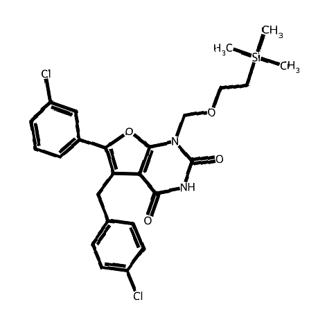 C[Si](C)(C)CCOCn1c(=O)[nH]c(=O)c2c(Cc3ccc(Cl)cc3)c(-c3cccc(Cl)c3)oc21